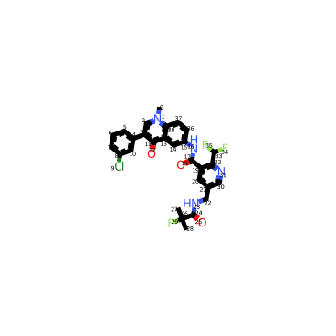 Cn1cc(-c2cccc(Cl)c2)c(=O)c2cc(NC(=O)c3cc(CNC(=O)C(C)(C)F)cnc3C(F)F)ccc21